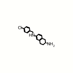 N[C@H]1CCc2cc(NCc3ccc(Cl)cc3)ccc2C1